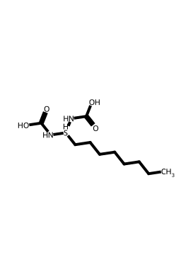 CCCCCCCC[SH](NC(=O)O)NC(=O)O